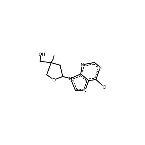 OCC1(F)COC(n2cnc3c(Cl)ncnc32)C1